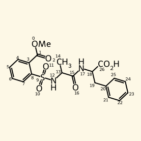 COC(=O)c1ccccc1S(=O)(=O)NC(C)C(=O)NC(Cc1ccccc1)C(=O)O